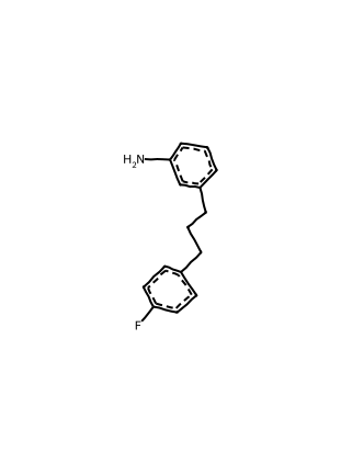 Nc1cccc(CCCc2ccc(F)cc2)c1